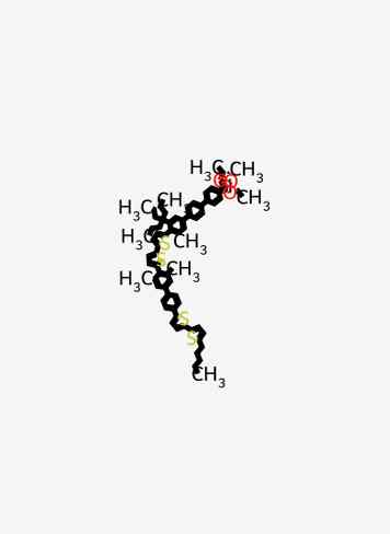 CCCCCc1ccc(-c2ccc(-c3ccc(-c4cc(C)c(-c5ccc(-c6ccc(-c7c(C)cc(-c8ccc(-c9ccc([Si](OCC)(OCC)OCC)cc9)cc8)cc7C(CCC)(CCC)CCC)s6)s5)c(C)c4)cc3)s2)s1